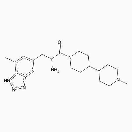 Cc1cc(CC(N)C(=O)N2CCC(C3CCN(C)CC3)CC2)cc2nn[nH]c12